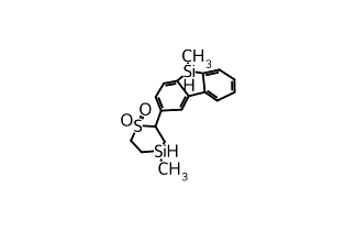 C[Si@H]1CCS(=O)(=O)C(c2ccc3c(c2)-c2ccccc2[Si@H]3C)C1